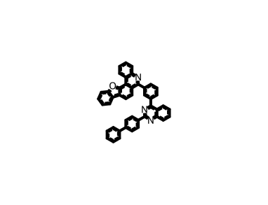 c1ccc(-c2ccc(-c3nc(-c4cccc(-c5nc6ccccc6c6c5ccc5c7ccccc7oc56)c4)c4ccccc4n3)cc2)cc1